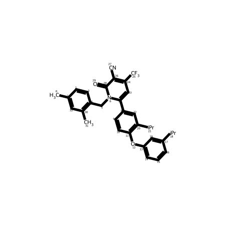 Cc1ccc(Cn2c(-c3ccc(Oc4cccc(C(C)C)c4)c(C(C)C)c3)cc(C(F)(F)F)c(C#N)c2=O)c(C)c1